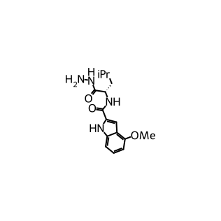 COc1cccc2[nH]c(C(=O)N[C@@H](CC(C)C)C(=O)NN)cc12